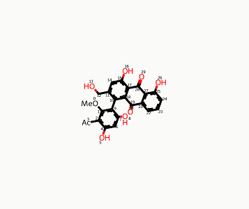 COc1c(C(C)=O)c(O)cc(O)c1-c1c(CO)cc(O)c2c1C(=O)c1cccc(O)c1C2=O